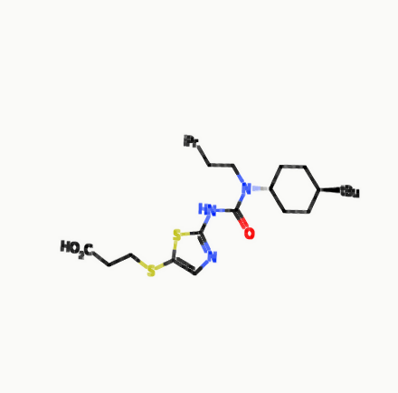 CC(C)CCN(C(=O)Nc1ncc(SCCC(=O)O)s1)[C@H]1CC[C@H](C(C)(C)C)CC1